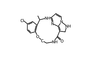 CC1NC2=NC3=C(CNN3C=C2)C(=O)NCCOc2ccc(Cl)cc21